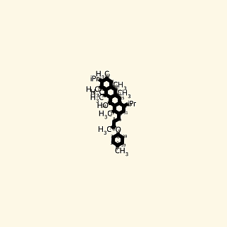 CC1CCC(OC(C)CCC2CC(C(C)C)C3CC4(C)CC5(C)CC(C)C(C(C)C)C(C)C5(C)C(C)C4C(O)C3C2C)CC1